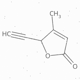 C#CC1OC(=O)C=C1C